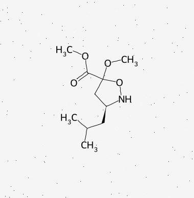 COC(=O)C1(OC)C[C@H](CC(C)C)NO1